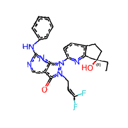 CC[C@@]1(O)CCc2ccc(-n3c4nc(Nc5ccccc5)ncc4c(=O)n3CC=C(F)F)nc21